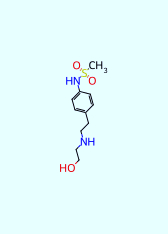 CS(=O)(=O)Nc1ccc(CCNCCO)cc1